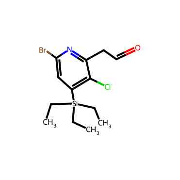 CC[Si](CC)(CC)c1cc(Br)nc(CC=O)c1Cl